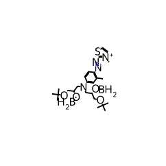 BOC(COC(C)(C)C)CN(CC(COC(C)(C)C)OB)c1ccc(/N=N/c2scc[n+]2C)c(C)c1